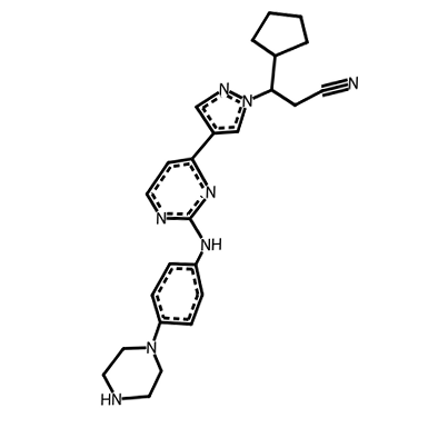 N#CCC(C1CCCC1)n1cc(-c2ccnc(Nc3ccc(N4CCNCC4)cc3)n2)cn1